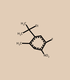 CCC(C)(C)c1cc(F)c([N+](=O)[O-])cc1C